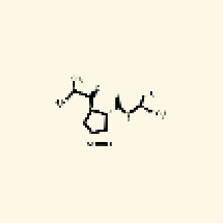 CC(=O)Cl.C[C@H](N)C(=O)N1CCC[C@H]1C(=O)N[C@@H](C)C(=O)O